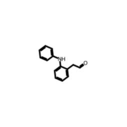 O=CCc1ccccc1Nc1ccccc1